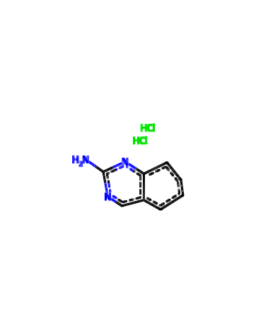 Cl.Cl.Nc1ncc2ccccc2n1